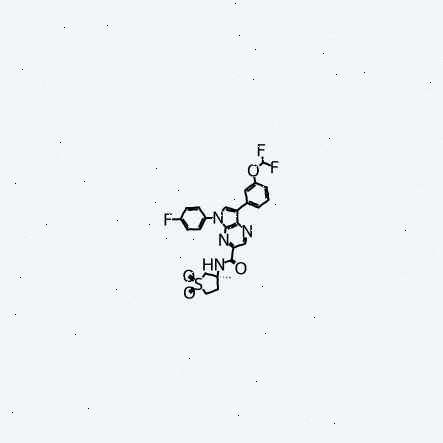 C[C@]1(NC(=O)c2cnc3c(-c4cccc(OC(F)F)c4)cn(-c4ccc(F)cc4)c3n2)CCS(=O)(=O)C1